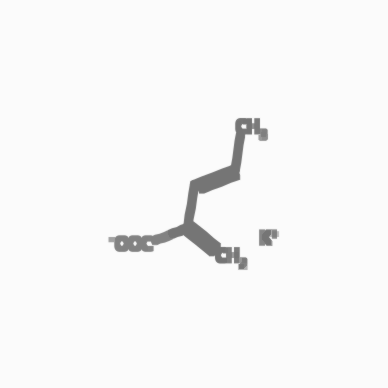 C=C(C=CC)C(=O)[O-].[K+]